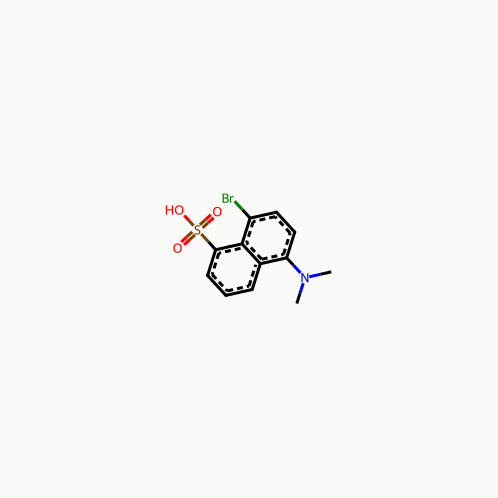 CN(C)c1ccc(Br)c2c(S(=O)(=O)O)cccc12